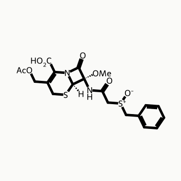 CO[C@@]1(NC(=O)C[S+]([O-])Cc2ccccc2)C(=O)N2C(C(=O)O)=C(COC(C)=O)CS[C@@H]21